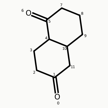 O=C1CCC2C(=O)CCCC2C1